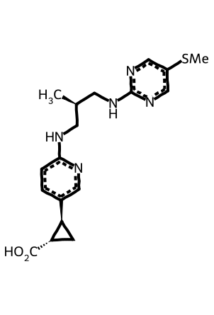 CSc1cnc(NC[C@H](C)CNc2ccc([C@H]3C[C@@H]3C(=O)O)cn2)nc1